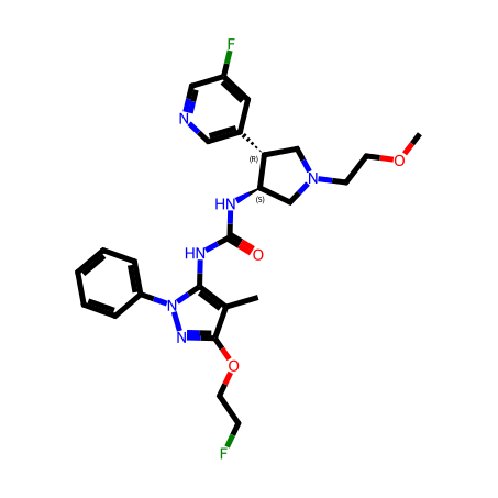 COCCN1C[C@@H](NC(=O)Nc2c(C)c(OCCF)nn2-c2ccccc2)[C@H](c2cncc(F)c2)C1